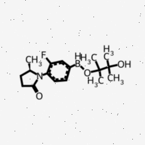 C[C@@H]1CCC(=O)N1c1ccc(BOC(C)(C)C(C)(C)O)cc1F